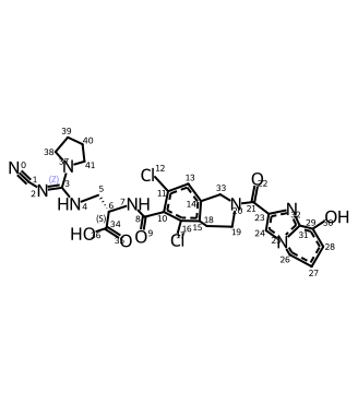 N#C/N=C(/NC[C@H](NC(=O)c1c(Cl)cc2c(c1Cl)CCN(C(=O)c1cn3cccc(O)c3n1)C2)C(=O)O)N1CCCC1